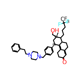 C[C@]1(CO)C[C@H](c2ccc(CN3CCN(CCc4ccccc4)CC3)cc2)C2=C3CCC(=O)C=C3CCC2C1CCCC(F)(F)C(F)(F)F